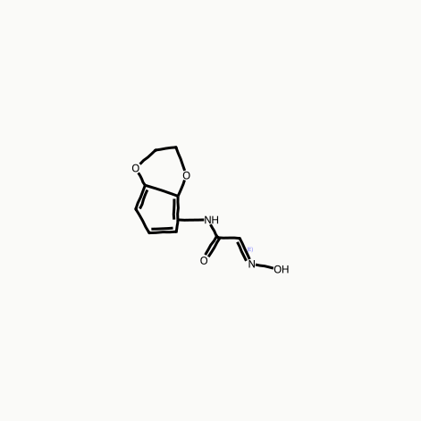 O=C(/C=N/O)Nc1cccc2c1OCCO2